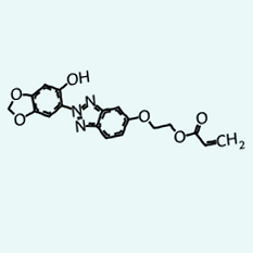 C=CC(=O)OCCOc1ccc2nn(-c3cc4c(cc3O)OCO4)nc2c1